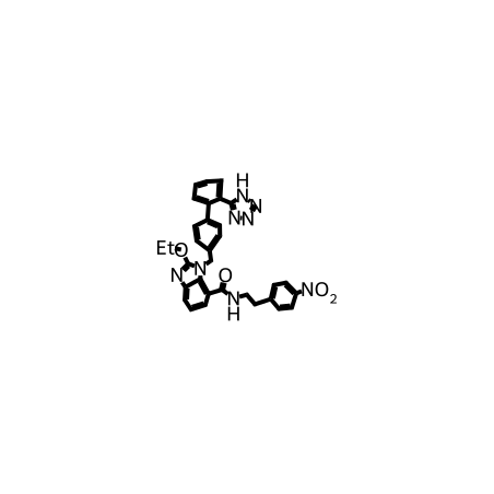 CCOc1nc2cccc(C(=O)NCCc3ccc([N+](=O)[O-])cc3)c2n1Cc1ccc(-c2ccccc2-c2nnn[nH]2)cc1